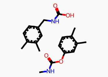 CNC(=O)Oc1ccc(C)c(C)c1.Cc1ccc(CNC(=O)O)cc1C